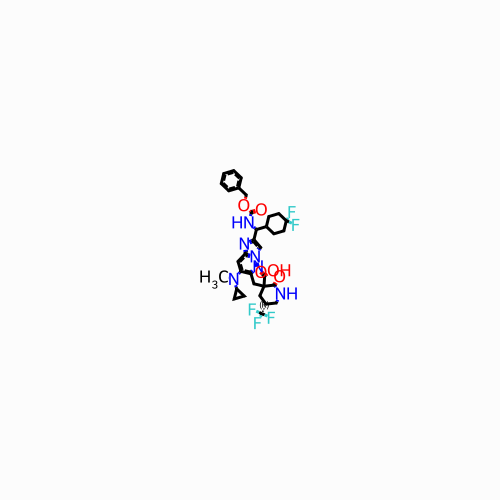 CN(c1cc2nc(C(NC(=O)OCc3ccccc3)C3CCC(F)(F)CC3)cn2nc1CC1(C(=O)O)C[C@@H](C(F)(F)F)CNC1=O)C1CC1